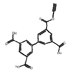 C#COC(=O)c1cc(C(=O)O)cc(-c2cc(C(=O)O)cc(C(=O)O)c2)c1